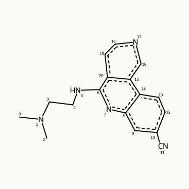 CN(C)CCNc1nc2cc(C#N)ccc2c2cnccc12